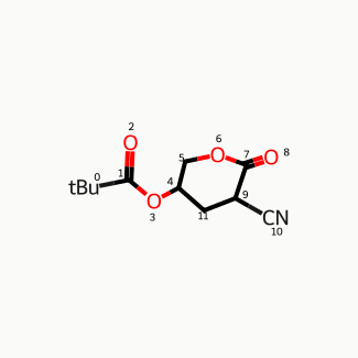 CC(C)(C)C(=O)OC1COC(=O)C(C#N)C1